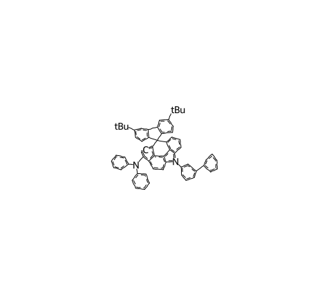 CC(C)(C)c1ccc2c(c1)-c1cc(C(C)(C)C)ccc1C21c2ccc(N(c3ccccc3)c3ccccc3)c3ccc4c(c23)c2c1cccc2n4-c1cccc(-c2ccccc2)c1